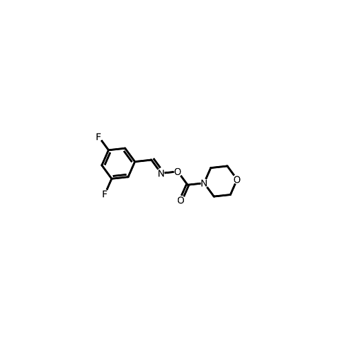 O=C(ON=Cc1cc(F)cc(F)c1)N1CCOCC1